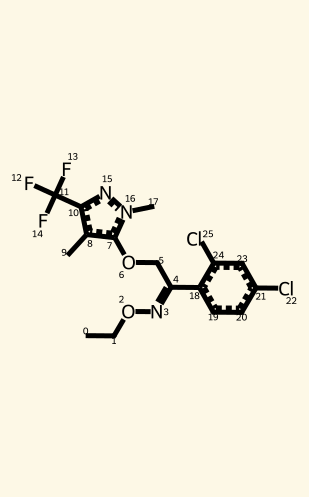 CCON=C(COc1c(C)c(C(F)(F)F)nn1C)c1ccc(Cl)cc1Cl